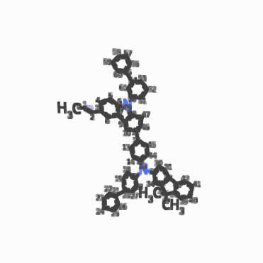 C/C=C/c1ccc2c(c1)c1cc(-c3ccc(N(c4ccc(-c5ccccc5)cc4)c4ccc5c(c4)C(C)(C)c4ccccc4-5)cc3)ccc1n2-c1cccc(-c2ccccc2)c1